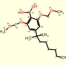 CCCCCCC(C)(C)c1cc(OCOC)c(B(O)O)c(OCOC)c1